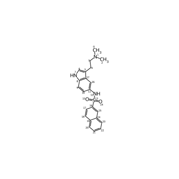 CN(C)CCc1c[nH]c2ccc(NS(=O)(=O)c3ccc4ccccc4c3)cc12